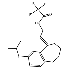 CC(C)Oc1ccc2c(c1)C(=CCNC(=O)C(F)(F)F)CCCC2